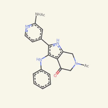 CC(=O)Nc1cc(-c2[nH]c3c(c2Nc2ccccc2)C(=O)CN(C(C)=O)C3)ccn1